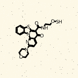 O=C(NCCOS)c1c(=O)c2ccc(N3CCOCC3)nc2n2c1sc1ccccc12